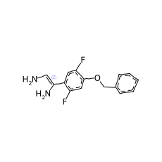 N/C=C(\N)c1cc(F)c(OCc2ccccc2)cc1F